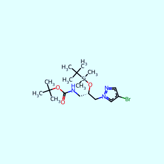 CC(C)(C)OC(=O)NC[C@@H](Cn1cc(Br)cn1)O[Si](C)(C)C(C)(C)C